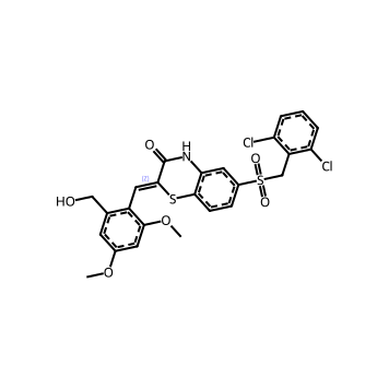 COc1cc(CO)c(/C=C2\Sc3ccc(S(=O)(=O)Cc4c(Cl)cccc4Cl)cc3NC2=O)c(OC)c1